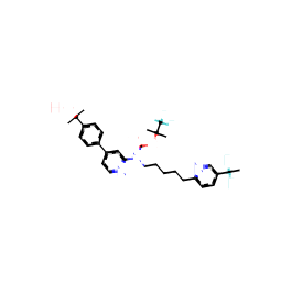 CC(C)(O)c1ccc(-c2ccnc(N(CCCCCc3ccc(C(C)(F)F)cn3)C(=O)OC(C)(C)C(F)(F)F)c2)cc1